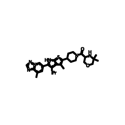 Cc1c(C2CCN(C(=O)C3COCC(C)(C)N3)CC2)sc2[nH]c(-c3cc(C)c4ncnn4c3)c(C(C)C)c12